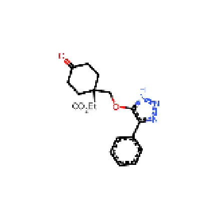 CCOC(=O)C1(COc2[nH]nnc2-c2ccccc2)CCC(=O)CC1